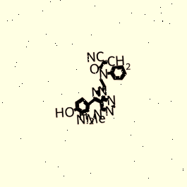 C=C(C#N)C(=O)N(CCn1nc(-c2ccc(O)c(NC)c2)c2c(N)ncnc21)c1ccccc1